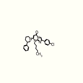 CCCCCn1c(N2CCCC(c3ccccc3)C2)cc(=O)n2cc(-c3ccc(Cl)cc3)nc12